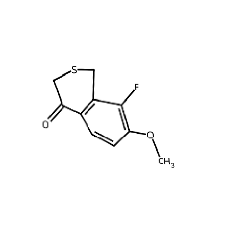 COc1ccc2c(c1F)CSCC2=O